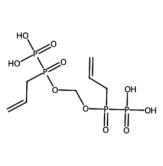 C=CCP(=O)(OCOP(=O)(CC=C)P(=O)(O)O)P(=O)(O)O